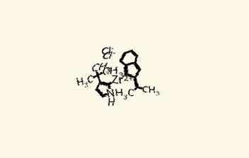 CC(C)=C1C=c2ccccc2=[C]1[Zr+2][c]1[nH]ccc1C(C)(C)C.[Cl-].[Cl-]